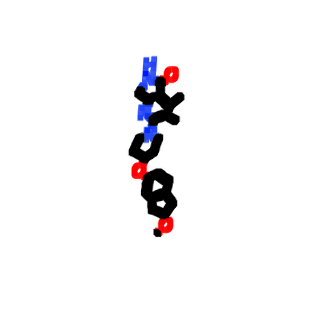 COC1Cc2ccc(OC3CCN(c4nc5c(c(C)c4C)C(=O)NC5)CC3)cc2C1